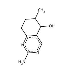 CC1CCc2nc(N)ncc2C1O